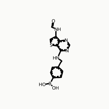 O=CNc1csc2c(NCc3ccc(B(O)O)cc3)ncnc12